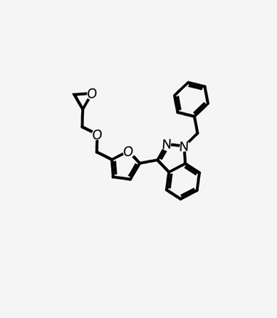 c1ccc(Cn2nc(-c3ccc(COCC4CO4)o3)c3ccccc32)cc1